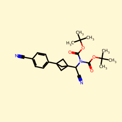 CC(C)(C)OC(=O)N(C(=O)OC(C)(C)C)C(C#N)C12CC(c3ccc(C#N)cc3)(C1)C2